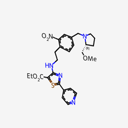 CCOC(=O)c1sc(-c2ccncc2)nc1NCCc1ccc(CN2CCC[C@@H]2COC)cc1[N+](=O)[O-]